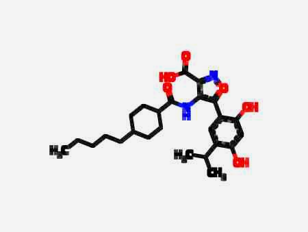 CCCCCC1CCC(C(=O)Nc2c(C(=O)O)noc2-c2cc(C(C)C)c(O)cc2O)CC1